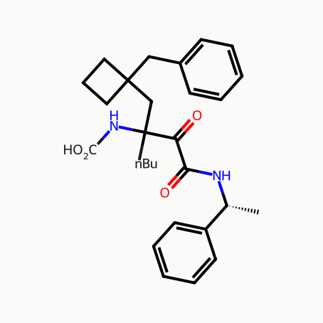 CCCCC(CC1(Cc2ccccc2)CCC1)(NC(=O)O)C(=O)C(=O)N[C@H](C)c1ccccc1